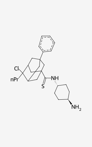 CCCC1(Cl)C2CC3(C(=S)N[C@H]4CC[C@H](N)CC4)CC1CC(c1ccccc1)(C2)C3